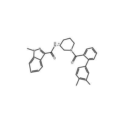 Cc1ccc(-c2ccccc2C(=O)N2CCC[C@@H](NC(=O)c3nn(C)c4ccccc34)C2)cc1C